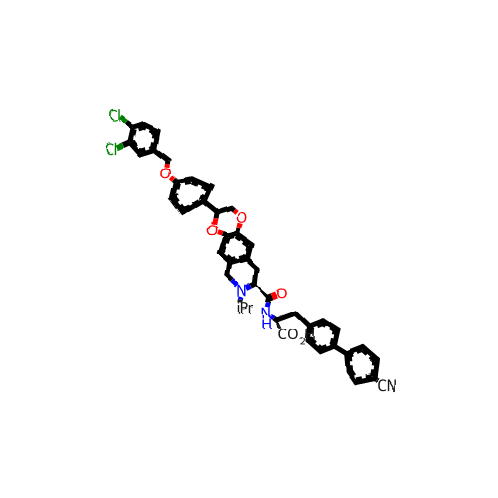 CC(C)N1Cc2cc3c(cc2C[C@H]1C(=O)N[C@@H](Cc1ccc(-c2ccc(C#N)cc2)cc1)C(=O)O)OCC(c1ccc(OCc2ccc(Cl)c(Cl)c2)cc1)O3